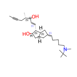 CC#CC[C@H](C)[C@H](O)/C=C/[C@@H]1[C@H]2C/C(=C/CCCCN(C)C(C)(C)C)C[C@H]2C[C@H]1O